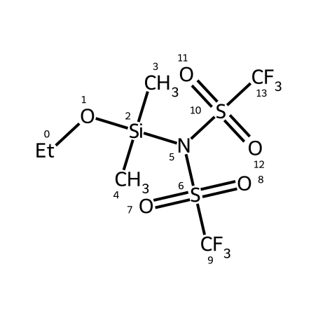 CCO[Si](C)(C)N(S(=O)(=O)C(F)(F)F)S(=O)(=O)C(F)(F)F